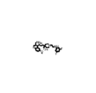 COc1ccc2ncc(CN)c(C(O)CCC3(CO)CCN(CCNc4cc(F)cc(F)c4)CC3)c2c1